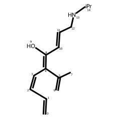 C=C\C=C/C(C(=C)C)=C(O)/C=C/CNC(C)C